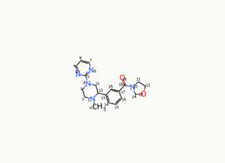 CN1CCN(c2ncccn2)CC1c1cccc(C(=O)N2CCOC2)c1